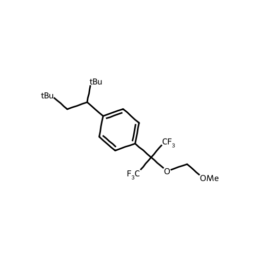 COCOC(c1ccc(C(CC(C)(C)C)C(C)(C)C)cc1)(C(F)(F)F)C(F)(F)F